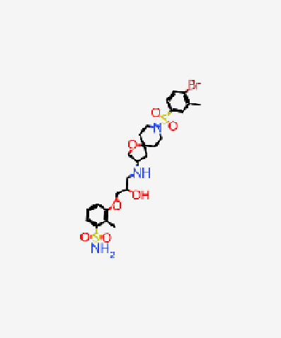 Cc1cc(S(=O)(=O)N2CCC3(CC2)C[C@H](NCC(O)COc2cccc(S(N)(=O)=O)c2C)CO3)ccc1Br